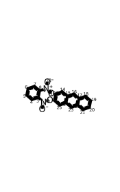 O=[N+]([O-])c1ccccc1[N+](=O)[O-].c1ccc2cc3ccccc3cc2c1